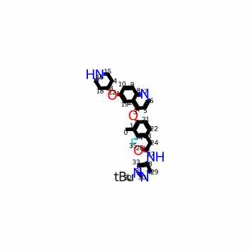 Cc1c(Oc2ccnc3ccc(OC4CCNCC4)cc23)ccc(CC(=O)Nc2cnn(C(C)(C)C)c2)c1F